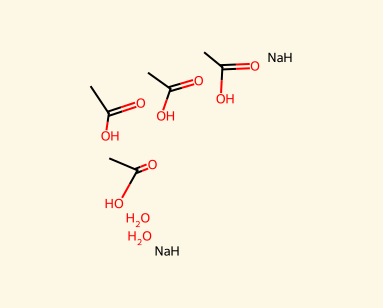 CC(=O)O.CC(=O)O.CC(=O)O.CC(=O)O.O.O.[NaH].[NaH]